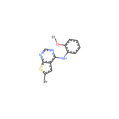 CCOc1ccccc1Nc1ncnc2sc(C(C)C)cc12